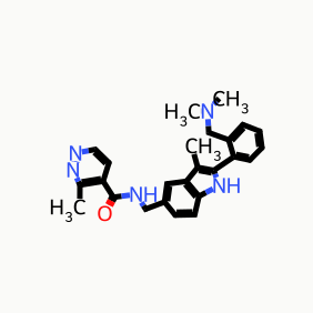 Cc1nnccc1C(=O)NCc1ccc2[nH]c(-c3ccccc3CN(C)C)c(C)c2c1